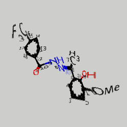 COc1cccc(/C(C)=N/NC(=O)c2ccc(C(F)(F)F)cc2)c1O